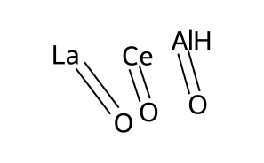 [O]=[AlH].[O]=[Ce].[O]=[La]